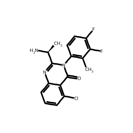 Cc1c(-n2c([C@H](C)N)nc3cccc(Cl)c3c2=O)ccc(F)c1F